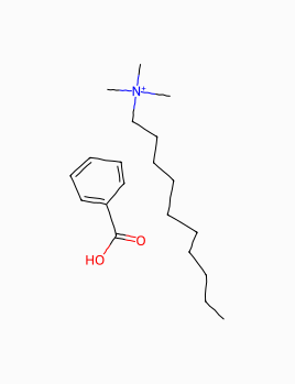 CCCCCCCCCC[N+](C)(C)C.O=C(O)c1ccccc1